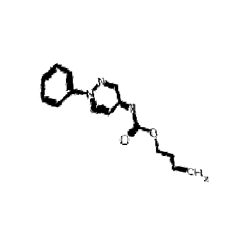 C=CCCOC(=O)N=c1ccn(-c2ccccc2)nc1